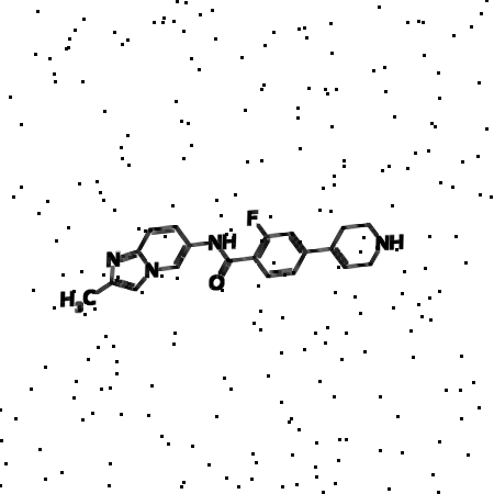 Cc1cn2cc(NC(=O)c3ccc(C4=CCNCC4)cc3F)ccc2n1